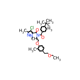 CCOCCc1ccc(OCCN(C(=O)c2ccc(C(C)(C)C)cc2)C(=O)c2c(Cl)c(C)nn2C)c(C)c1